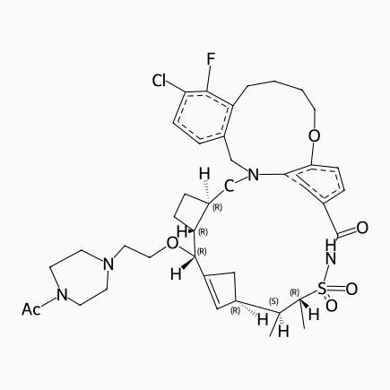 CC(=O)N1CCN(CCO[C@H]2C3=C[C@@H](C3)[C@H](C)[C@@H](C)S(=O)(=O)NC(=O)c3ccc4c(c3)N(Cc3ccc(Cl)c(F)c3CCCCO4)C[C@@H]3CC[C@H]32)CC1